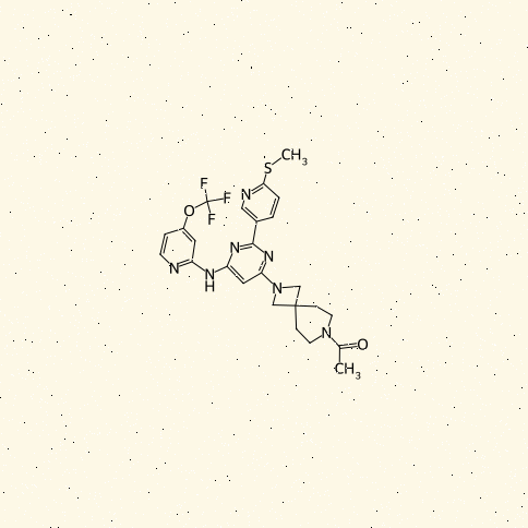 CSc1ccc(-c2nc(Nc3cc(OC(F)(F)F)ccn3)cc(N3CC4(CCN(C(C)=O)CC4)C3)n2)cn1